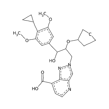 COc1cc(C(O)C(Cn2cc3nccc(C(=O)O)c3n2)OC2CCCC2)cc(OC)c1C1CC1